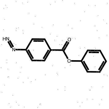 N=Nc1ccc(C(=O)Oc2ccccc2)cc1